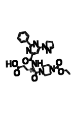 CCOC(=O)N1CCN(C(=O)[C@H](CCC(=O)O)NC(=O)c2cc(N3CCC=N3)nc(-c3ccccc3)n2)CC1